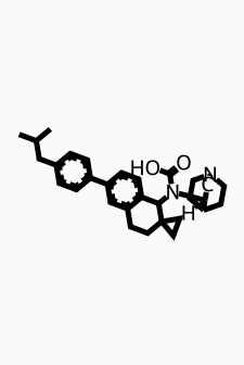 CC(C)Cc1ccc(-c2ccc3c(c2)CCC2(CC2)C3N(C(=O)O)[C@@H]2CN3CCC2CC3)cc1